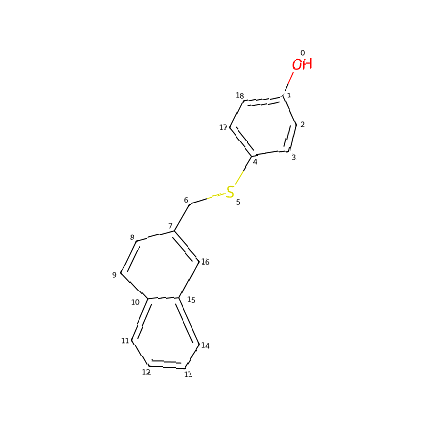 Oc1ccc(SCc2ccc3ccccc3c2)cc1